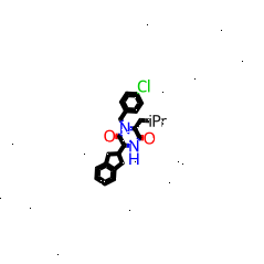 CC(C)CC1C(=O)NC(C2Cc3ccccc3C2)C(=O)N1Cc1ccc(Cl)cc1